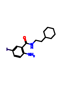 Nc1ccc(I)cc1C(=O)NCCC1CCCCC1